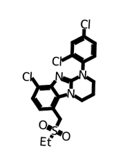 CCS(=O)(=O)Cc1ccc(Cl)c2nc3n(c12)CCCN3c1ccc(Cl)cc1Cl